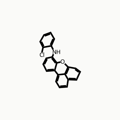 Clc1ccccc1Nc1cccc2c1Oc1cccc3cccc-2c13